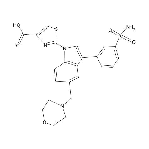 NS(=O)(=O)c1cccc(-c2cn(-c3nc(C(=O)O)cs3)c3ccc(CN4CCOCC4)cc23)c1